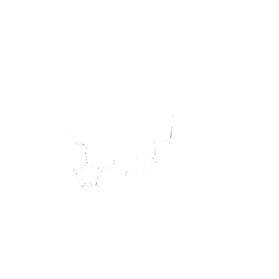 O=[N+]([O-])c1nccn1CCS(=O)(=O)NCCO